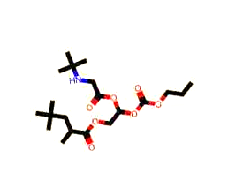 CCCOC(=O)OC(COC(=O)C(C)CC(C)(C)C)OC(=O)CNC(C)(C)C